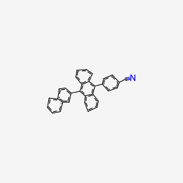 N#Cc1ccc(-c2c3ccccc3c(-c3ccc4ccccc4c3)c3ccccc23)cc1